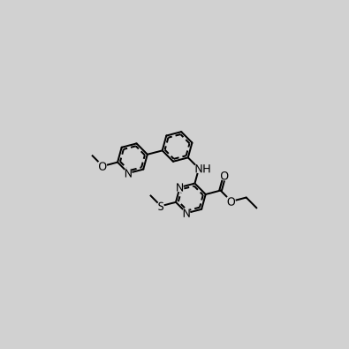 CCOC(=O)c1cnc(SC)nc1Nc1cccc(-c2ccc(OC)nc2)c1